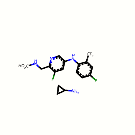 NC1CC1.O=C(O)NCc1ncc(Nc2ccc(F)cc2C(F)(F)F)cc1F